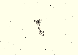 c1ccc(-c2nc(-c3ccccc3)nc(-c3ccc(-c4ccc(-c5cccc(-c6cccc7c6C6(CCCCC6)c6ccccc6-7)c5)cc4)cc3)n2)cc1